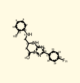 O=C1CC(CNc2ccccc2F)Nc2nc(-c3ccc(F)cc3)nn21